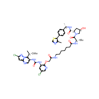 CO[C@@H](C)c1c(NC(=O)Nc2cc(Cl)cnc2OCC(=O)NCCCCCCC(=O)N[C@H](C(=O)N2C[C@H](O)C[C@H]2C(=O)N[C@@H](C)c2ccc(-c3scnc3C)cc2)C(C)(C)C)cnc2cc(Cl)nn12